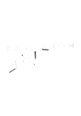 C=CCC(OC(=O)/C=C/C(=O)O)(C(F)(F)F)C(F)(F)F